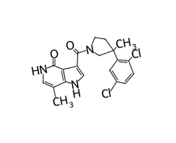 Cc1c[nH]c(=O)c2c(C(=O)N3CCC(C)(c4cc(Cl)ccc4Cl)C3)c[nH]c12